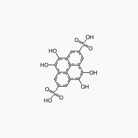 O=S(=O)(O)c1cc2c(O)c(O)c3cc(S(=O)(=O)O)cc4c(O)c(O)c(c1)c2c34